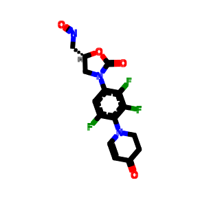 O=NC[C@H]1CN(c2cc(F)c(N3C=CC(=O)CC3)c(F)c2F)C(=O)O1